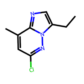 CCc1cnc2c(C)cc(Cl)nn12